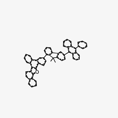 CC1(C)c2ccc(-c3c4ccccc4c(-c4ccccc4)c4ccccc34)cc2-c2cccc(-c3ccc4c(c3)c3ccccc3c3c5ccc6ccccc6c5oc43)c21